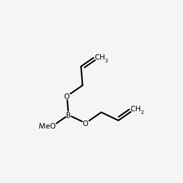 C=CCOB(OC)OCC=C